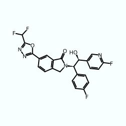 O=C1c2cc(-c3nnc(C(F)F)o3)ccc2CN1[C@H](c1ccc(F)cc1)[C@@H](O)c1ccc(F)nc1